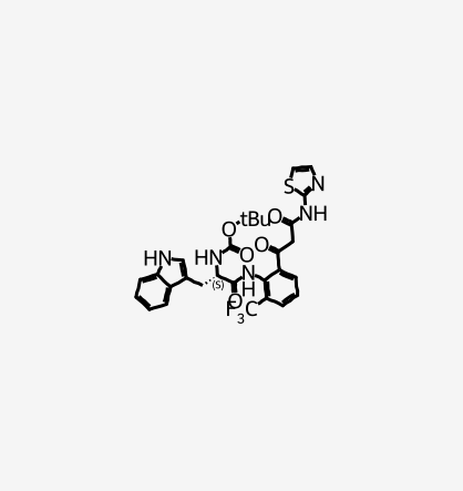 CC(C)(C)OC(=O)N[C@@H](Cc1c[nH]c2ccccc12)C(=O)Nc1c(C(=O)CC(=O)Nc2nccs2)cccc1C(F)(F)F